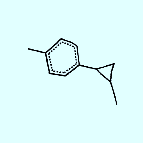 Cc1ccc(C2CC2C)cc1